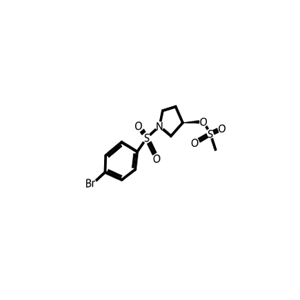 CS(=O)(=O)O[C@@H]1CCN(S(=O)(=O)c2ccc(Br)cc2)C1